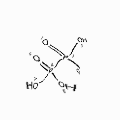 CP(=O)(O)P(=O)(O)O